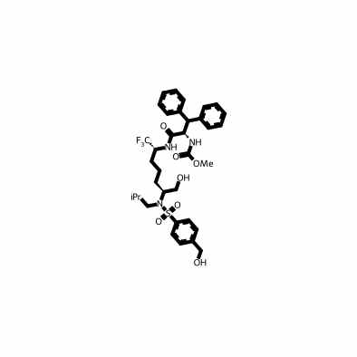 COC(=O)N[C@H](C(=O)N[C@H](CCC[C@@H](CO)N(CC(C)C)S(=O)(=O)c1ccc(CO)cc1)C(F)(F)F)C(c1ccccc1)c1ccccc1